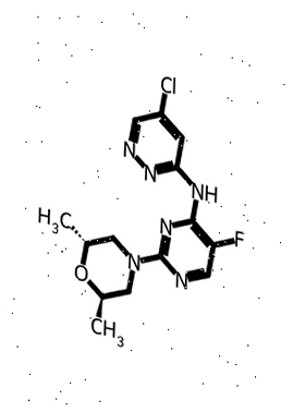 C[C@@H]1CN(c2ncc(F)c(Nc3cc(Cl)cnn3)n2)C[C@@H](C)O1